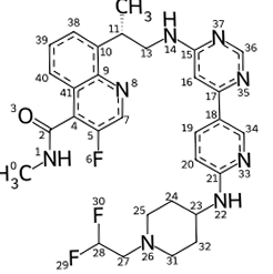 CNC(=O)c1c(F)cnc2c([C@H](C)CNc3cc(-c4ccc(NC5CCN(CC(F)F)CC5)nc4)ncn3)cccc12